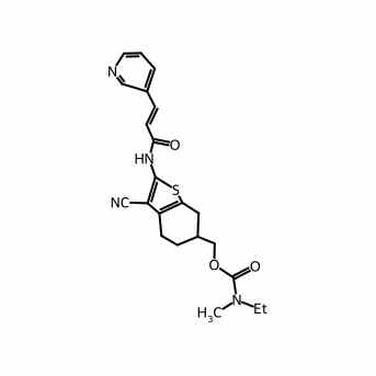 CCN(C)C(=O)OCC1CCc2c(sc(NC(=O)/C=C/c3cccnc3)c2C#N)C1